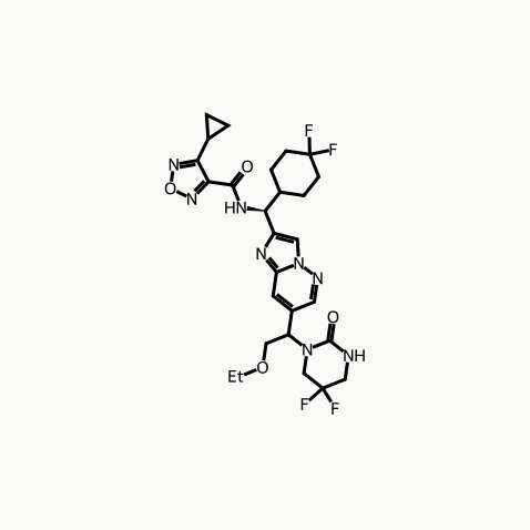 CCOCC(c1cnn2cc([C@@H](NC(=O)c3nonc3C3CC3)C3CCC(F)(F)CC3)nc2c1)N1CC(F)(F)CNC1=O